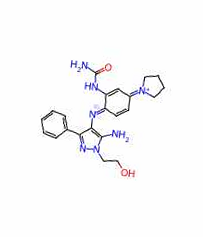 NC(=O)NC1=CC(=[N+]2CCCC2)C=C/C1=N\c1c(-c2ccccc2)nn(CCO)c1N